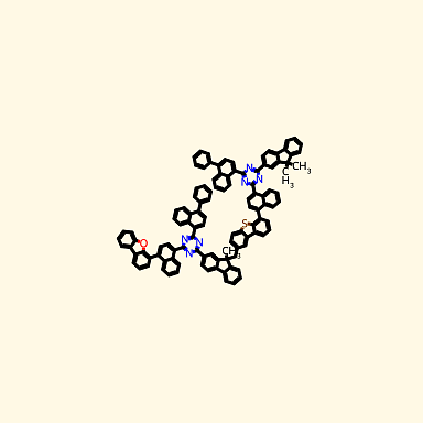 CC1(C)c2ccccc2-c2ccc(-c3nc(-c4ccc(-c5ccccc5)c5ccccc45)nc(-c4ccc(-c5cccc6c5sc5ccc(CC7(C)c8ccccc8-c8ccc(-c9nc(-c%10ccc(-c%11ccccc%11)c%11ccccc%10%11)nc(-c%10ccc(-c%11cccc%12c%11oc%11ccccc%11%12)c%11ccccc%10%11)n9)cc87)cc56)c5ccccc45)n3)cc21